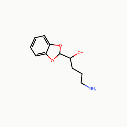 NCCCC(O)C1Oc2ccccc2O1